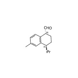 Cc1ccc2c(c1)[C@H](C(C)C)CC[C@H]2C=O